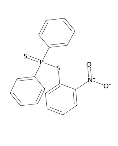 O=[N+]([O-])c1ccccc1SP(=S)(c1ccccc1)c1ccccc1